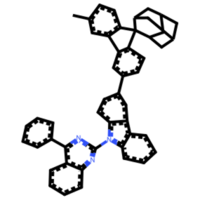 Cc1ccc2c(c1)-c1cc(-c3ccc4c(c3)c3ccccc3n4-c3nc(-c4ccccc4)c4ccccc4n3)ccc1C21C2CC3CC(C2)CC1C3